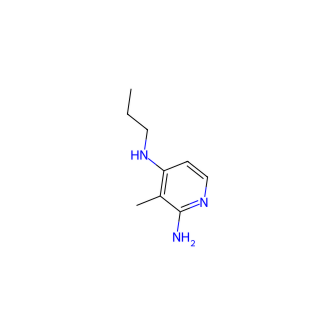 CCCNc1ccnc(N)c1C